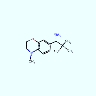 CN1CCOc2cc([C@H](N)C(C)(C)C)ccc21